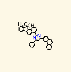 CC1(C)c2ccccc2-c2ccc3c(-c4nc(-c5ccccc5)cc(-c5ccc6ccc7ccccc7c6c5)n4)cccc3c21